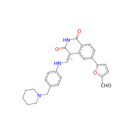 O=Cc1ccc(-c2ccc3c(c2)/C(=C/Nc2ccc(CN4CCCCC4)cc2)C(=O)NC3=O)o1